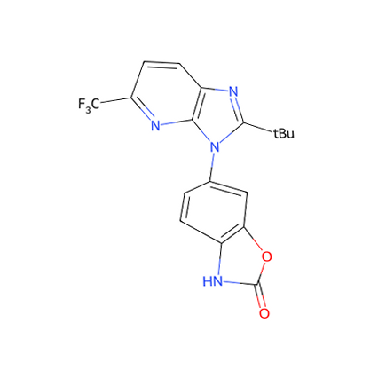 CC(C)(C)c1nc2ccc(C(F)(F)F)nc2n1-c1ccc2[nH]c(=O)oc2c1